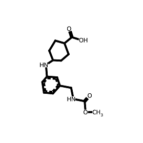 COC(=O)NCc1cccc(NC2CCC(C(=O)O)CC2)c1